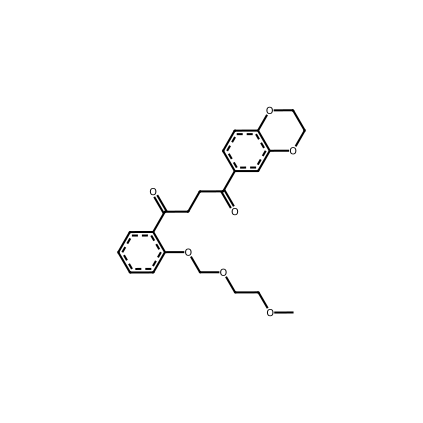 COCCOCOc1ccccc1C(=O)CCC(=O)c1ccc2c(c1)OCCO2